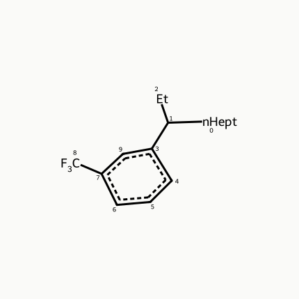 CCCCCCCC(CC)c1cccc(C(F)(F)F)c1